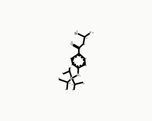 CC(C)[Si](Oc1ccc(C(=O)CC(F)Br)cc1)(C(C)C)C(C)C